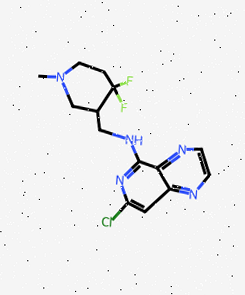 CN1CCC(F)(F)C(CNc2nc(Cl)cc3nccnc23)C1